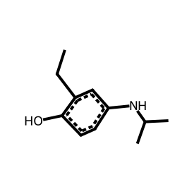 CCc1cc(NC(C)C)ccc1O